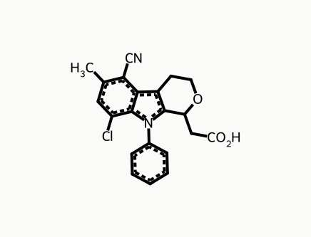 Cc1cc(Cl)c2c(c1C#N)c1c(n2-c2ccccc2)C(CC(=O)O)OCC1